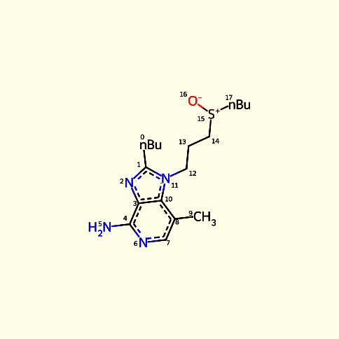 CCCCc1nc2c(N)ncc(C)c2n1CCC[S+]([O-])CCCC